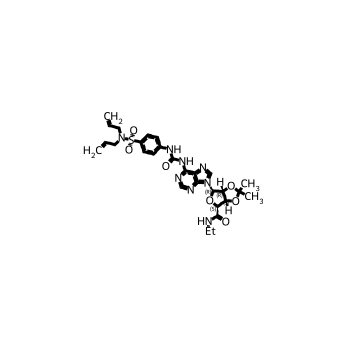 C=CCN(CC=C)S(=O)(=O)c1ccc(NC(=O)Nc2ncnc3c2ncn3[C@@H]2O[C@H](C(=O)NCC)[C@H]3OC(C)(C)O[C@H]32)cc1